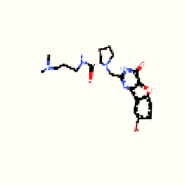 CN(C)CCCNC(=O)[C@@H]1CCCN1Cc1nc2c(oc3ccc(Br)cc32)c(=O)[nH]1